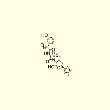 CON=C(C(=O)NC1C(=O)N2C(C(=O)O)=C(CSc3nnc(C)s3)CS[C@@H]12)c1cccc(O)c1